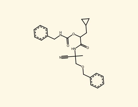 CC(C#N)(COCc1ccccc1)NC(=O)C(CC1CC1)OC(=O)NCc1ccccc1